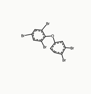 Brc1cc(Br)c(Oc2ccc(Br)c(Br)c2)c(Br)c1